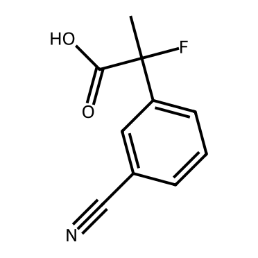 CC(F)(C(=O)O)c1cccc(C#N)c1